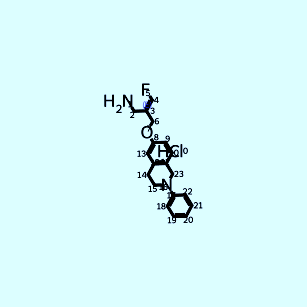 Cl.NC/C(=C\F)COc1ccc2c(c1)CCN(c1ccccc1)C2